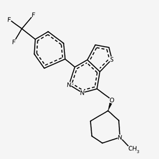 CN1CCC[C@@H](Oc2nnc(-c3ccc(C(F)(F)F)cc3)c3ccsc23)C1